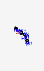 O=C(Nc1ccccn1)N1CC=C(c2cc3c(Nc4ccc5[nH]ncc5c4)ncnc3[nH]2)CC1